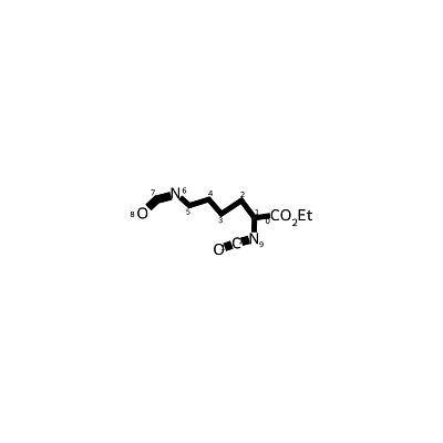 CCOC(=O)C(CCCCN=C=O)N=C=O